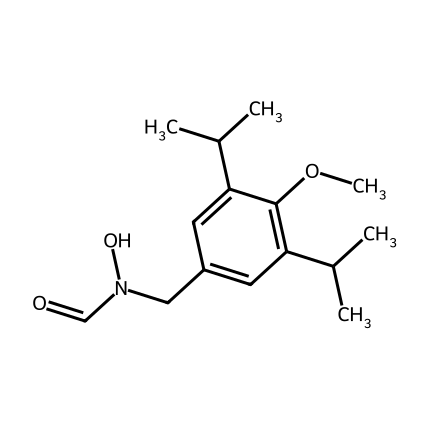 COc1c(C(C)C)cc(CN(O)C=O)cc1C(C)C